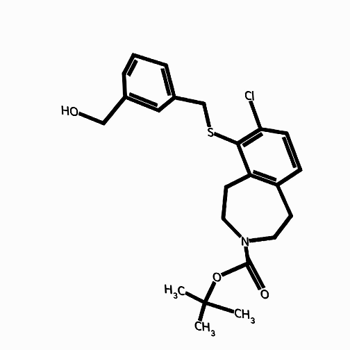 CC(C)(C)OC(=O)N1CCc2ccc(Cl)c(SCc3cccc(CO)c3)c2CC1